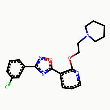 Clc1cccc(-c2noc(-c3cccnc3OCCN3CCCCC3)n2)c1